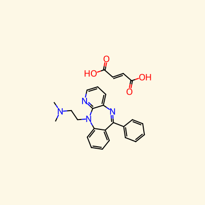 CN(C)CCN1c2ccccc2C(c2ccccc2)=Nc2cccnc21.O=C(O)C=CC(=O)O